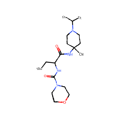 CCC(CC)N1CCC(C#N)(NC(=O)C(CC(C)(C)C)NC(=O)N2CCOCC2)CC1